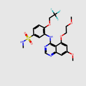 CNS(=O)(=O)c1ccc(OCC(F)(F)F)c(Nc2ncnc3cc(OC)cc(OCCOC)c23)c1